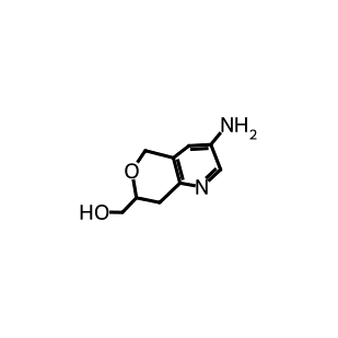 Nc1cnc2c(c1)COC(CO)C2